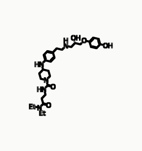 CCN(CC)C(=O)CCNC(=O)N1CCC(Nc2ccc(CCNC[C@H](O)COc3ccc(O)cc3)cc2)CC1